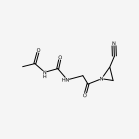 CC(=O)NC(=O)NCC(=O)N1CC1C#N